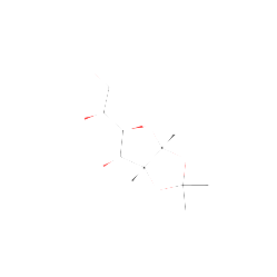 CC1(C)O[C@H]2O[C@H]([C@@H](O)CO)[C@H](O)[C@H]2O1